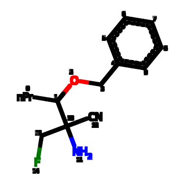 CCCC(OCc1ccccc1)C(N)(C#N)CF